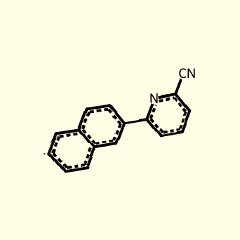 N#Cc1cccc(-c2ccc3c[c]ccc3c2)n1